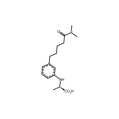 C[C@@H](Nc1cccc(CCCCC(=O)N(C)C)c1)C(=O)O